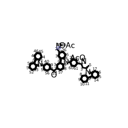 CC(=O)ON=C(CC(C)n1c2ccccc2c2ccccc21)c1ccc(-n2c3ccc(/C=N\OC(C)=O)cc3c3cc(C(=O)c4ccc(-n5c6ccccc6c6ccccc65)cc4)ccc32)cc1